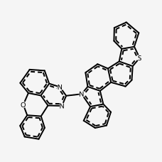 c1ccc2c(c1)Oc1cccc3nc(-n4c5ccccc5c5c6ccc7sc8ccccc8c7c6ccc54)nc-2c13